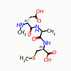 CN[C@H](CC(=O)O)C(=O)NC(C)C(=O)N[C@H](CSC)C(=O)O